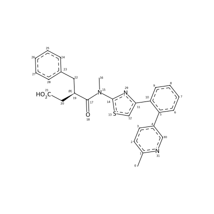 Cc1ccc(-c2ccccc2-c2csc(N(C)C(=O)[C@@H](CC(=O)O)Cc3ccccc3)n2)cn1